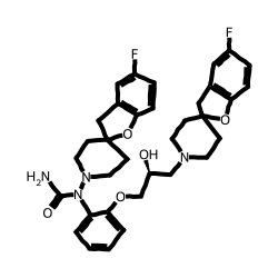 NC(=O)N(c1ccccc1OC[C@@H](O)CN1CCC2(CC1)Cc1cc(F)ccc1O2)N1CCC2(CC1)Cc1cc(F)ccc1O2